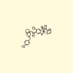 COc1ccc(C[C@H]2CN3CCC[C@]3(CNc3cc(F)c(S(=O)(=O)Nc4nccs4)cc3Cl)C2)cc1